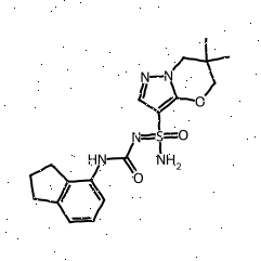 CC1(C)COc2c(S(N)(=O)=NC(=O)Nc3cccc4c3CCC4)cnn2C1